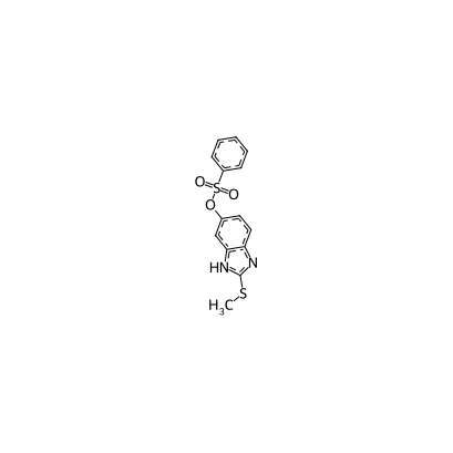 CSc1nc2ccc(OS(=O)(=O)c3ccccc3)cc2[nH]1